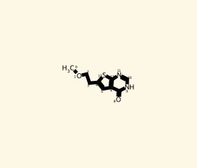 COCCc1cc2c(=O)[nH]cnc2s1